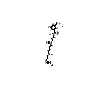 NCCCNCCCCNCCCNC(=O)c1cccc(N)c1